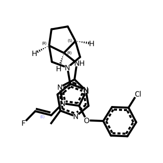 Cc1cc(N2C[C@H]3CC[C@@H](C2)[C@H]3Nc2nc(Oc3cccc(Cl)c3)n(/C=C/F)n2)ncn1